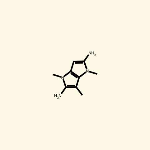 Cc1c(N)n(C)c2cc(N)n(C)c12